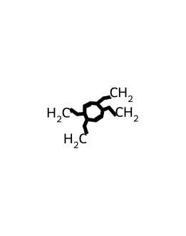 C=CCC1C=CC(CC=C)C(CC=C)C=CC1CC=C